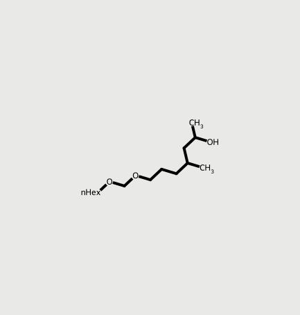 CCCCCCOCOCCCC(C)CC(C)O